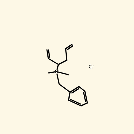 C=CCC(C=C)[N+](C)(C)Cc1ccccc1.[Cl-]